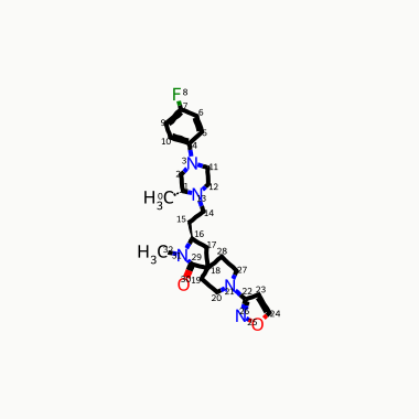 C[C@@H]1CN(c2ccc(F)cc2)CCN1CC[C@H]1CC2(CCN(c3ccon3)CC2)C(=O)N1C